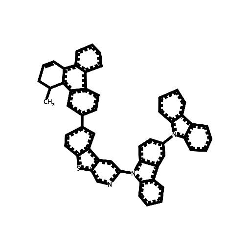 CC1CC=Cc2c1c1cc(-c3ccc4sc5cnc(-n6c7ccccc7c7cc(-n8c9ccccc9c9ccccc98)ccc76)cc5c4c3)ccc1c1ccccc21